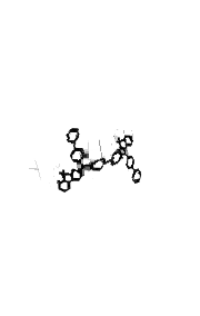 CC1(C)c2ccccc2-c2ccc(N(c3ccc(-c4ccccc4)cc3)c3ccc(-c4ccc5c(c4)c4c(n5-c5ccc(-c6ccccc6)cc5)-c5ccccc5C4(C)C)cc3)cc21